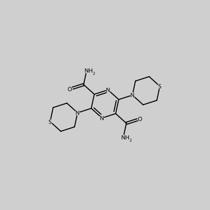 NC(=O)c1nc(N2CCSCC2)c(C(N)=O)nc1N1CCSCC1